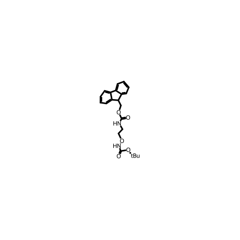 CC(C)(C)OC(=O)NOCCNC(=O)OCC1c2ccccc2-c2ccccc21